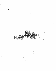 COC(=O)CCCCc1cc(C)cc(OC[C@@H](C)CCC(N)=O)c1F